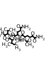 CCC(C)C(NC(=O)C(CCC(N)=O)NC(=O)C(CCC(=O)C(N)=O)NC(C)=O)C(=O)NC(C(N)=O)C(C)C